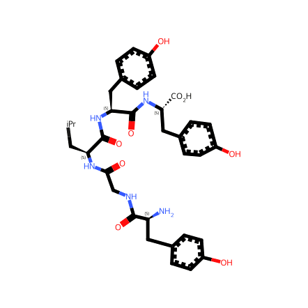 CC(C)C[C@H](NC(=O)CNC(=O)[C@@H](N)Cc1ccc(O)cc1)C(=O)N[C@@H](Cc1ccc(O)cc1)C(=O)N[C@@H](Cc1ccc(O)cc1)C(=O)O